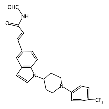 O=CNC(=O)C=Cc1ccc2c(ccn2C2CCN(c3ccc(C(F)(F)F)cc3)CC2)c1